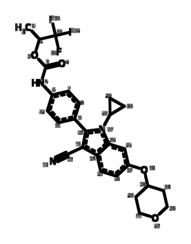 CC(OC(=O)Nc1ccc(-c2c(C#N)c3ccc(OC4CCOCC4)cc3n2C2CC2)cc1)C(F)(F)F